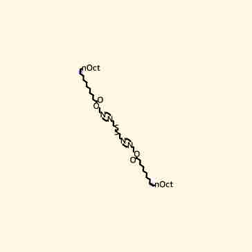 CCCCCCCC/C=C\CCCCCCCCC(=O)OCCN1CCN(CCSSCCN2CCN(CCOC(=O)CCCCCCC/C=C\CCCCCCCC)CC2)CC1